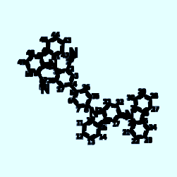 N#Cc1cc(-c2ccc(-n3c4ccccc4c4cc(-n5c6ccccc6c6ccccc65)ccc43)cc2)ccc1-n1c2ccccc2c2cccc(C#N)c21